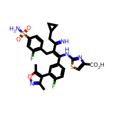 Cc1noc(C)c1-c1cc(/C(Nc2nc(C(=O)O)cs2)=C(\Cc2ccc(S(N)(=O)=O)cc2F)C(=N)CC2CC2)ccc1F